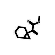 C=C(C(=O)OC)C12CCCCC1C2